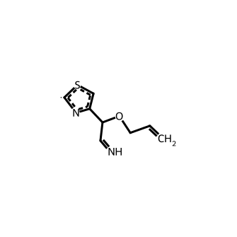 C=CCOC(C=N)c1cs[c]n1